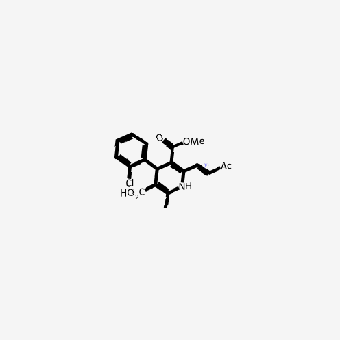 COC(=O)C1=C(/C=C/C(C)=O)NC(C)=C(C(=O)O)C1c1ccccc1Cl